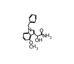 COc1cccc2c1c(C(O)C(N)=O)cn2Cc1ccccc1